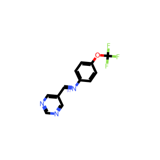 FC(F)(F)Oc1ccc(/N=C/c2cncnc2)cc1